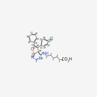 O=C(O)CCCCCNc1ncnc2oc(-c3ccccc3)c(-c3ccc(Cl)cc3)c12